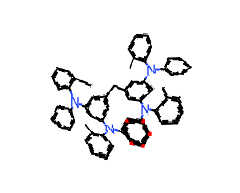 Cc1ccccc1N(c1ccccc1)c1cc(Cc2cc(N(c3ccccc3)c3ccccc3C)cc(N(c3ccccc3)c3ccccc3C)c2)cc(N(c2ccccc2)c2ccccc2C)c1